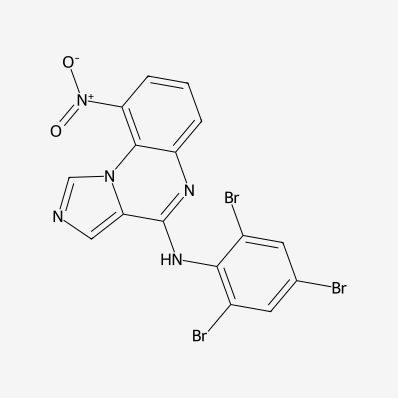 O=[N+]([O-])c1cccc2nc(Nc3c(Br)cc(Br)cc3Br)c3cncn3c12